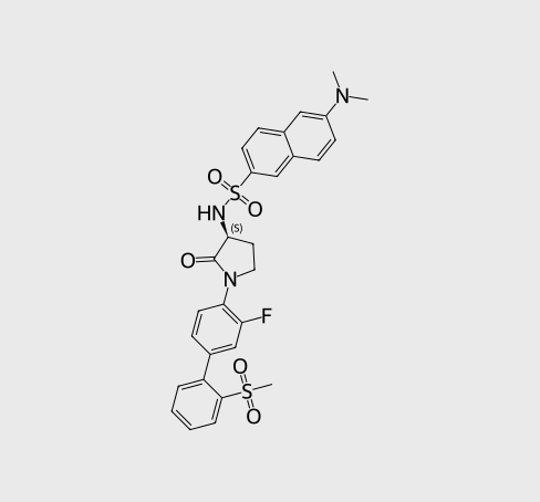 CN(C)c1ccc2cc(S(=O)(=O)N[C@H]3CCN(c4ccc(-c5ccccc5S(C)(=O)=O)cc4F)C3=O)ccc2c1